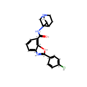 O=C(NC1CN2CCC1CC2)c1cccc2nc(-c3ccc(Cl)cc3)oc12